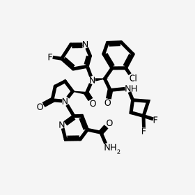 NC(=O)c1ccnc(N2C(=O)CC[C@H]2C(=O)N(c2cncc(F)c2)[C@H](C(=O)NC2CC(F)(F)C2)c2ccccc2Cl)c1